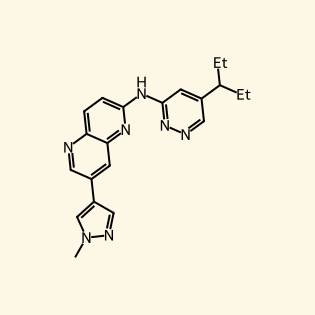 CCC(CC)c1cnnc(Nc2ccc3ncc(-c4cnn(C)c4)cc3n2)c1